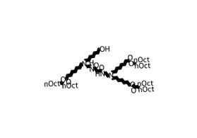 CCCCCCCCC(CCCCCCCC)OC(=O)CCCCCCCN(CCCCCCCO)CCNC(=O)CC(=O)NCCN(CCCCCCCOC(=O)C(CCCCCCCC)CCCCCCCC)CCCCCCCC(=O)OC(CCCCCCCC)CCCCCCCC